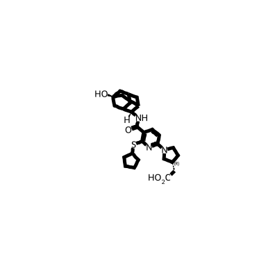 O=C(O)C[C@H]1CCN(c2ccc(C(=O)N[C@H]3C4CC5CC3C[C@@](O)(C5)C4)c(SC3CCCC3)n2)C1